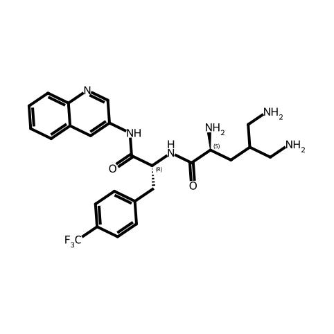 NCC(CN)C[C@H](N)C(=O)N[C@H](Cc1ccc(C(F)(F)F)cc1)C(=O)Nc1cnc2ccccc2c1